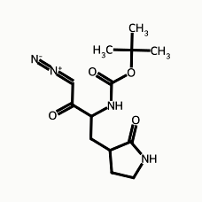 CC(C)(C)OC(=O)NC(CC1CCNC1=O)C(=O)C=[N+]=[N-]